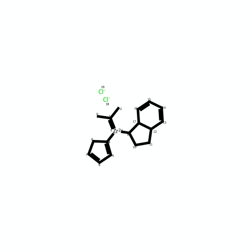 C[C](C)=[Zr+2]([C]1=CC=CC1)[CH]1CCC2C=CC=CC21.[Cl-].[Cl-]